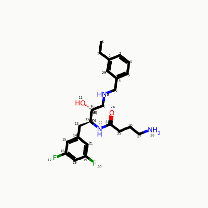 CCc1cccc(CNC[C@@H](O)[C@H](Cc2cc(F)cc(F)c2)NC(=O)CCCN)c1